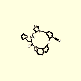 N#Cc1ccc2cc1Oc1ccc3cccc(c3c1)NC(=O)[C@@H](Cc1cccs1)NCc1cncn1C2